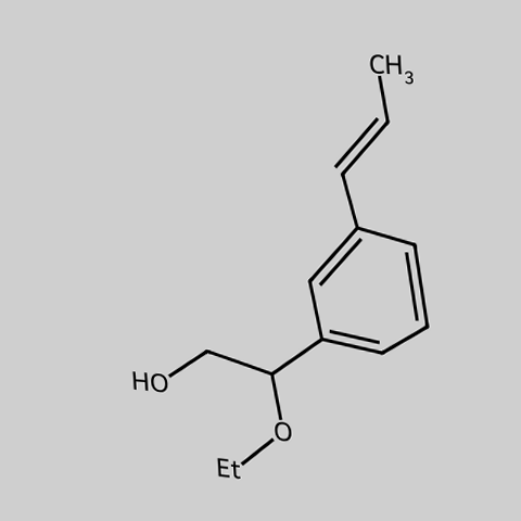 C/C=C/c1cccc(C(CO)OCC)c1